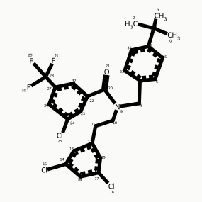 CC(C)(C)c1ccc(CN(CCc2cc(Cl)cc(Cl)c2)C(=O)c2cc(Cl)cc(C(F)(F)F)c2)cc1